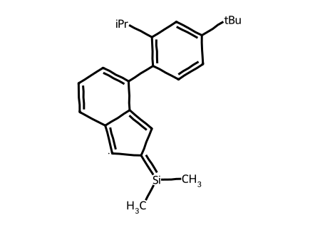 CC(C)c1cc(C(C)(C)C)ccc1-c1cccc2c1=CC(=[Si](C)C)[C]=2